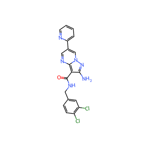 Nc1nn2cc(-c3ccccn3)cnc2c1C(=O)NCc1ccc(Cl)c(Cl)c1